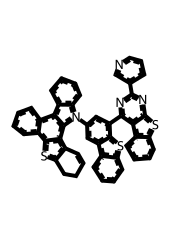 C1=Cc2c(sc3c4ccccc4c4c5ccccc5n(-c5cc(-c6nc(-c7cccnc7)nc7sc8ccccc8c67)c6sc7ccccc7c6c5)c4c23)CC1